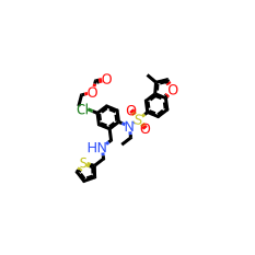 CCN(c1ccc(Cl)cc1CNCc1cccs1)S(=O)(=O)c1ccc2occ(C)c2c1.CCOC=O